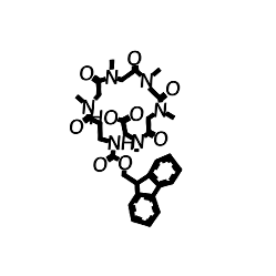 CN(CC(=O)O)C(=O)CN(C)C(=O)CN(C)C(=O)CN(C)C(=O)CN(C)C(=O)CCNC(=O)OCC1c2ccccc2-c2ccccc21